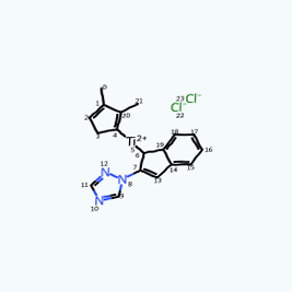 CC1=CC[C]([Ti+2][CH]2C(n3cncn3)=Cc3ccccc32)=C1C.[Cl-].[Cl-]